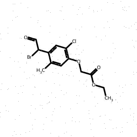 CCOC(=O)COc1cc(C)c(C(Br)C=O)cc1Cl